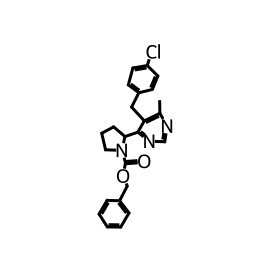 Cc1ncnc(C2CCCN2C(=O)OCc2ccccc2)c1Cc1ccc(Cl)cc1